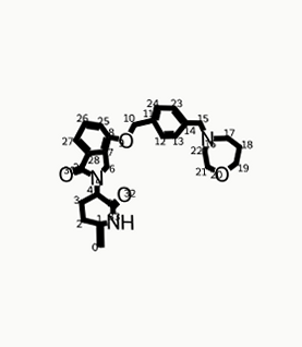 C=C1CCC(N2Cc3c(OCc4ccc(CN5CCCOCC5)cc4)cccc3C2=O)C(=O)N1